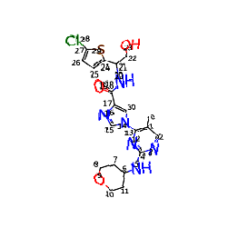 Cc1cnc(NC2CCOCC2)nc1-n1cnc(C(=O)NC(CO)c2ccc(Cl)s2)c1